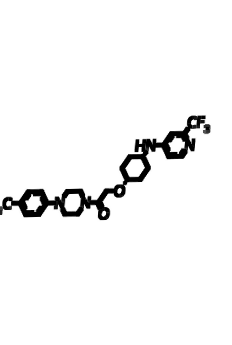 O=C(CO[C@H]1CC[C@H](Nc2ccnc(C(F)(F)F)c2)CC1)N1CCN(c2ccc(C(F)(F)F)cc2)CC1